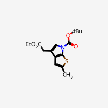 CCOC(=O)Cc1cn(C(=O)OC(C)(C)C)c2sc(C)cc12